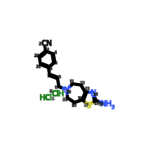 Cl.Cl.N#Cc1ccc(C=CCN2CCc3nc(N)sc3CC2)cc1